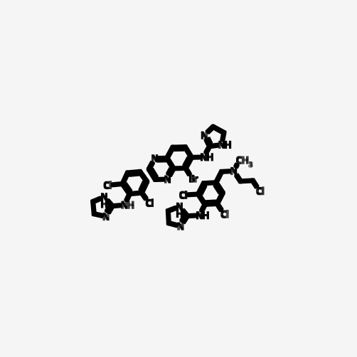 Brc1c(NC2=NCCN2)ccc2nccnc12.CN(CCCl)Cc1cc(Cl)c(NC2=NCCN2)c(Cl)c1.Clc1cccc(Cl)c1NC1=NCCN1